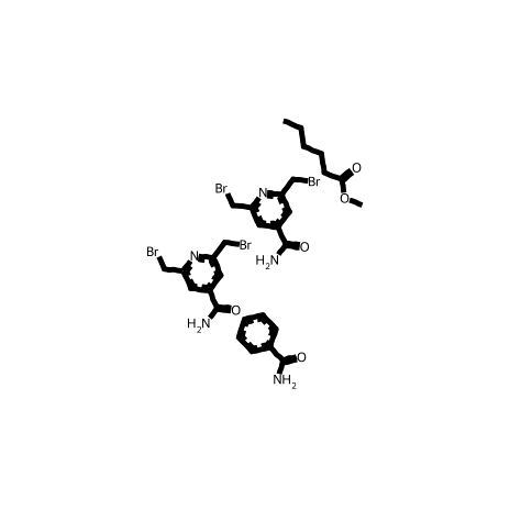 CCCCCC(=O)OC.NC(=O)c1cc(CBr)nc(CBr)c1.NC(=O)c1cc(CBr)nc(CBr)c1.NC(=O)c1ccccc1